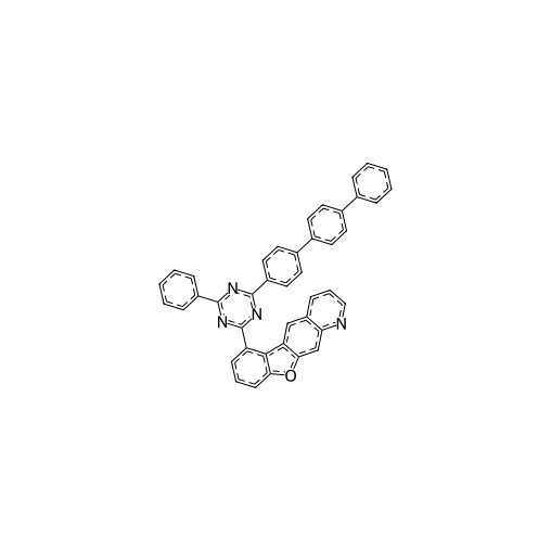 c1ccc(-c2ccc(-c3ccc(-c4nc(-c5ccccc5)nc(-c5cccc6oc7cc8ncccc8cc7c56)n4)cc3)cc2)cc1